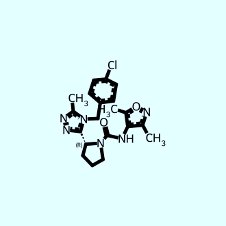 Cc1noc(C)c1NC(=O)N1CCC[C@@H]1c1nnc(C)n1Cc1ccc(Cl)cc1